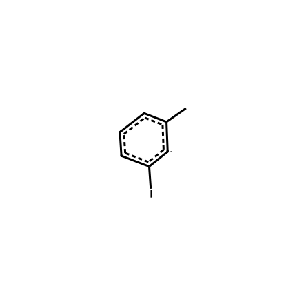 Cc1[c]c(I)ccc1